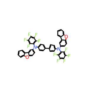 Fc1c(F)c(F)c(N(c2ccc(-c3ccc(N(c4ccc5oc6ccccc6c5c4)c4c(F)c(F)c(F)c(F)c4F)cc3)cc2)c2ccc3oc4ccccc4c3c2)c(F)c1F